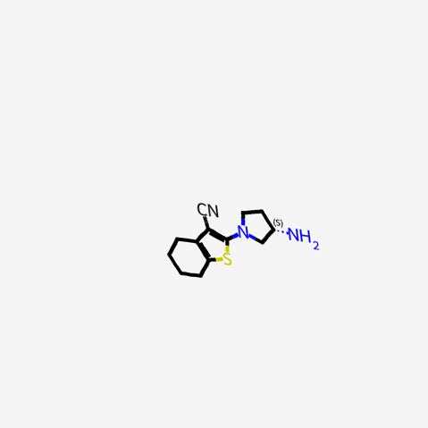 N#Cc1c(N2CC[C@H](N)C2)sc2c1CCCC2